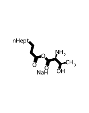 CCCCCCCCCC(=O)OC(=O)[C@@H](N)[C@@H](C)O.[NaH]